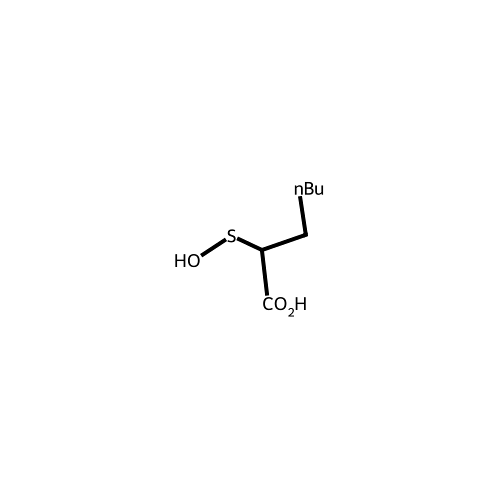 CCCCCC(SO)C(=O)O